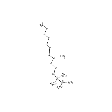 Br.CCCCCCCCCCCC(C)(C)N(C)C